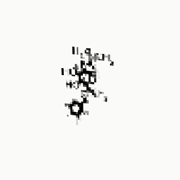 CN(C)C1=N[C@@H]2[C@@H](O)[C@H](O)[C@@H]([C@H](OCc3cccc(F)c3)C(F)(F)F)O[C@@H]2S1